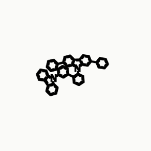 c1ccc(-c2ccc3c4ccc(-c5ccccc5)cc4n(-c4ccccc4-c4cccc(-n5c6ccccc6c6ccccc65)c4)c3c2)cc1